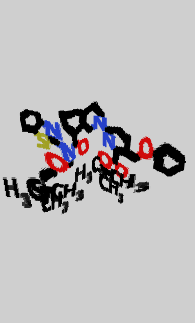 CC(C)(C)OC(=O)c1nc(N2CCc3cccc(C(=O)N(COCC[Si](C)(C)C)c4nc5ccccc5s4)c3C2)ccc1COc1ccccc1